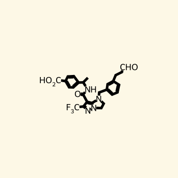 CC(NC(=O)c1c(C(F)(F)F)nn2c1N(Cc1cccc(CCC=O)c1)CC2)c1ccc(C(=O)O)cc1